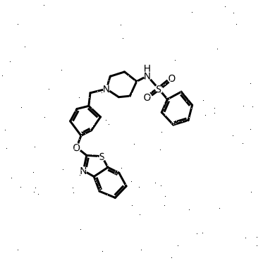 O=S(=O)(NC1CCN(Cc2ccc(Oc3nc4ccccc4s3)cc2)CC1)c1ccccc1